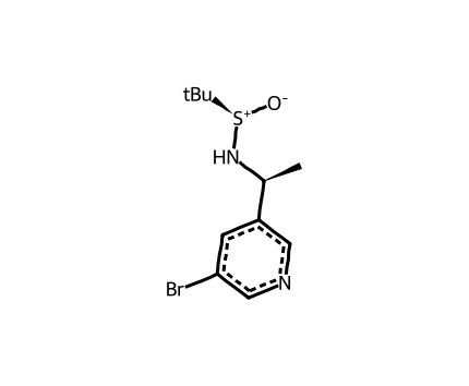 C[C@H](N[S@+]([O-])C(C)(C)C)c1cncc(Br)c1